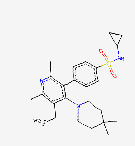 Cc1nc(C)c(-c2ccc(S(=O)(=O)NC3CC3)cc2)c(N2CCC(C)(C)CC2)c1CC(=O)O